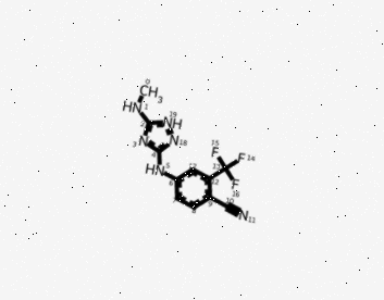 CNc1nc(Nc2ccc(C#N)c(C(F)(F)F)c2)n[nH]1